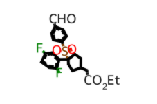 CCOC(=O)CC1CCC(c2cc(F)ccc2F)(S(=O)(=O)c2ccc(C=O)cc2)CC1